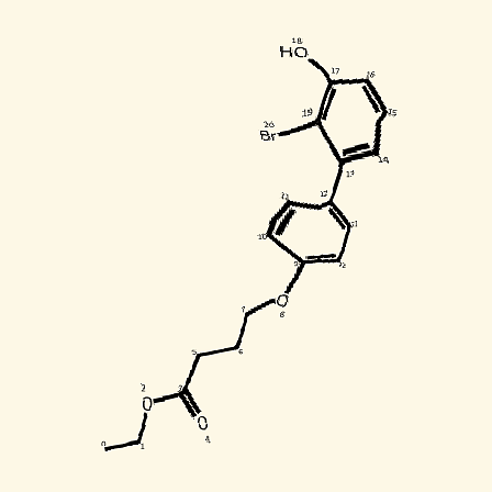 CCOC(=O)CCCOc1ccc(-c2cccc(O)c2Br)cc1